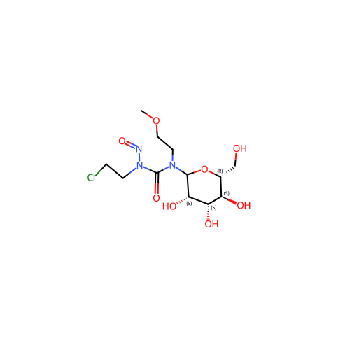 COCCN(C(=O)N(CCCl)N=O)C1O[C@H](CO)[C@@H](O)[C@H](O)[C@@H]1O